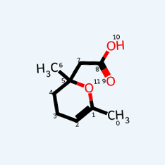 CC1=CCCC(C)(CC(=O)O)O1